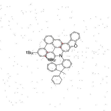 CC(C)(C)c1cc(-c2cccc3cccc(-c4ccccc4N(c4ccc5c(c4)oc4ccccc45)c4cccc5c4-c4ccccc4C5(C)C4=CC=CCC4)c23)cc(C(C)(C)C)c1